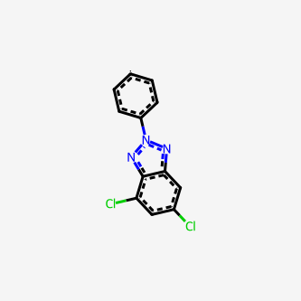 Clc1cc(Cl)c2nn(-c3cc[c]cc3)nc2c1